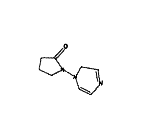 O=C1CCCN1N1C=CN=CC1